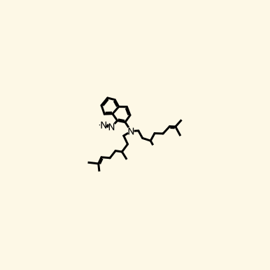 CC(C)=CCCC(C)CCN(CCC(C)CCC=C(C)C)c1ccc2ccccc2c1N=[N]